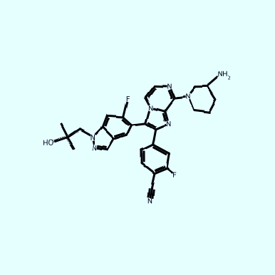 CC(C)(O)Cn1ncc2cc(-c3c(-c4ccc(C#N)c(F)c4)nc4c(N5CCCC(N)C5)nccn34)c(F)cc21